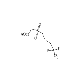 [CH2]CCCCCCCCS(=O)(=O)CCCC(F)(F)C(F)(F)F